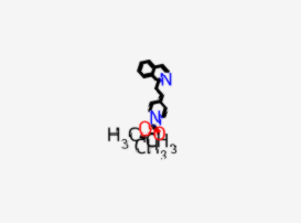 CC(C)(C)OC(=O)N1CCC(CCc2nccc3ccccc23)CC1